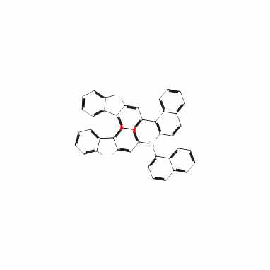 c1ccc2c(N(c3ccc4c(c3)oc3ccccc34)c3ccc4ccccc4c3-c3ccc4c(c3)sc3ccccc34)cccc2c1